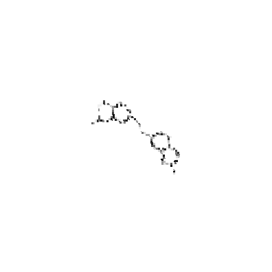 Cc1ccc2ccc(CCc3ccc4ccc(C)nc4c3)cc2c1